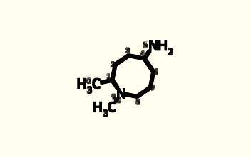 CC1CCC(N)CCCN1C